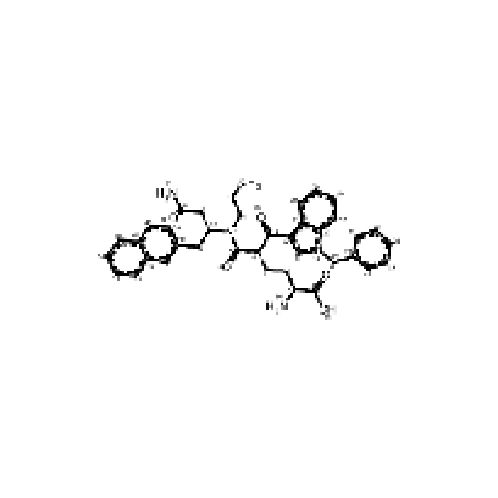 CCCN(C(=O)[C@H](CCC(N)C(=O)O)C(=O)c1cn(Cc2ccccc2)c2ccccc12)[C@H](CC(N)=O)Cc1ccc2ccccc2c1